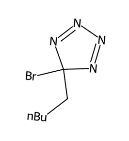 CCCCCC1(Br)N=NN=N1